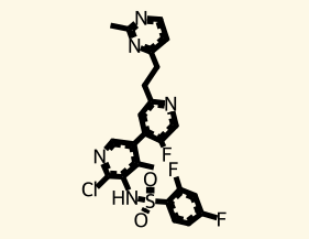 Cc1nccc(CCc2cc(-c3cnc(Cl)c(NS(=O)(=O)c4ccc(F)cc4F)c3C)c(F)cn2)n1